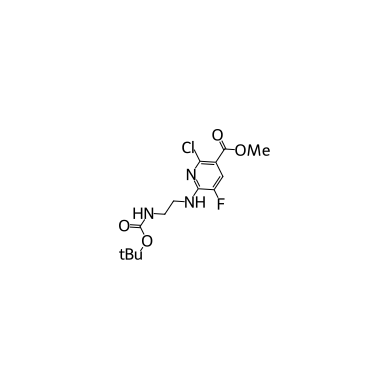 COC(=O)c1cc(F)c(NCCNC(=O)OC(C)(C)C)nc1Cl